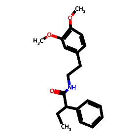 CCC(C(=O)NCCc1ccc(OC)c(OC)c1)c1ccccc1